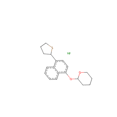 F.c1ccc2c(C3CCCS3)ccc(OC3CCCCO3)c2c1